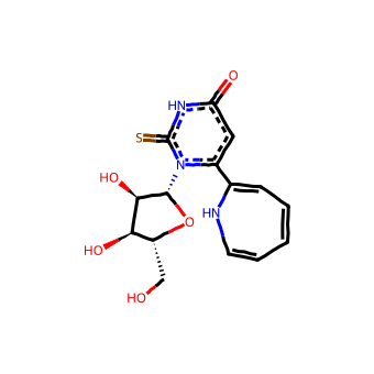 O=c1cc(C2=CC=CC=CN2)n([C@@H]2O[C@H](CO)[C@@H](O)[C@H]2O)c(=S)[nH]1